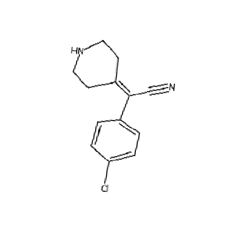 N#CC(=C1CCNCC1)c1ccc(Cl)cc1